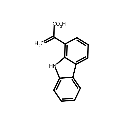 C=C(C(=O)O)c1cccc2c1[nH]c1ccccc12